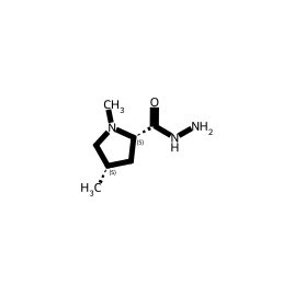 C[C@H]1C[C@@H](C(=O)NN)N(C)C1